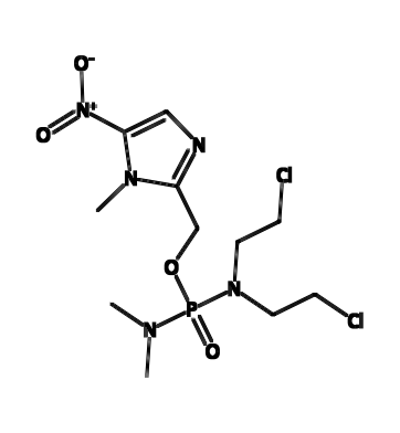 CN(C)P(=O)(OCc1ncc([N+](=O)[O-])n1C)N(CCCl)CCCl